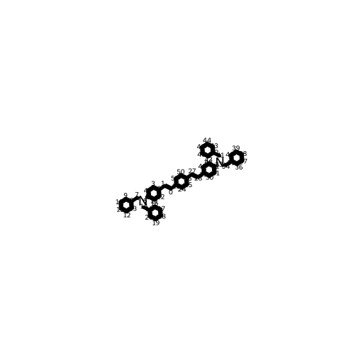 C(=Cc1ccc(N(Cc2ccccc2)Cc2ccccc2)cc1)c1ccc(C=Cc2ccc(N(Cc3ccccc3)Cc3ccccc3)cc2)cc1